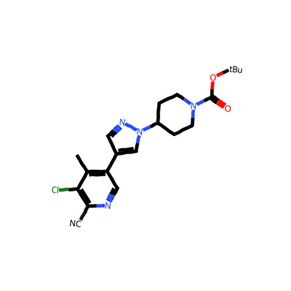 Cc1c(-c2cnn(C3CCN(C(=O)OC(C)(C)C)CC3)c2)cnc(C#N)c1Cl